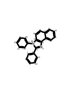 c1ccc(-c2nc3c4ccccc4ccc3n2-c2ccccc2)cc1